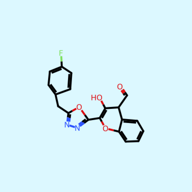 O=CC1C(O)=C(c2nnc(Cc3ccc(F)cc3)o2)Oc2ccccc21